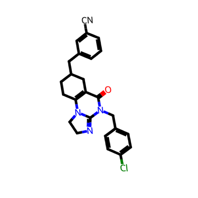 N#Cc1cccc(CC2CCC3=C(C2)C(=O)N(Cc2ccc(Cl)cc2)C2=NCCN23)c1